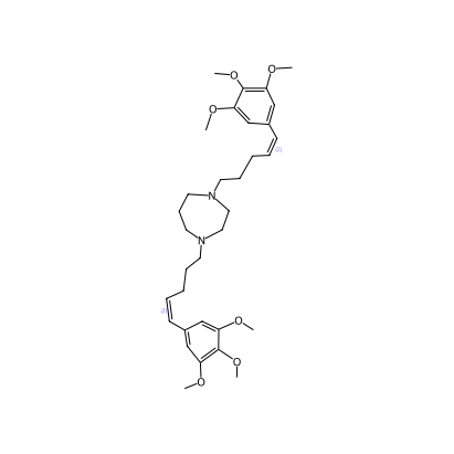 COc1cc(/C=C\CCCN2CCCN(CCC/C=C\c3cc(OC)c(OC)c(OC)c3)CC2)cc(OC)c1OC